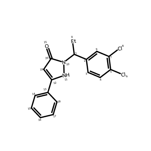 CCC(c1ccc(Cl)c(Cl)c1)n1[nH]c(-c2ccccc2)cc1=O